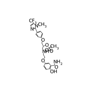 Cn1c(C(F)(F)F)cnc1-c1ccc(OCC(CNCCOc2ccc(O)c(C(N)=O)c2)OS(C)(=O)=O)cc1